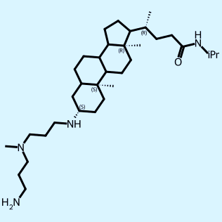 CC(C)NC(=O)CC[C@@H](C)C1CCC2C3CCC4C[C@@H](NCCCN(C)CCCN)CC[C@]4(C)C3CC[C@@]21C